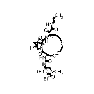 C=CCNC(=O)C(=O)[C@@H]1CCCCCCCOC[C@H](NC(=O)N[C@H](CN(C)S(=O)(=O)CC)C(C)(C)C)C(=O)N2C[C@@H]3C[C@@H]3[C@H]2C(=O)N1